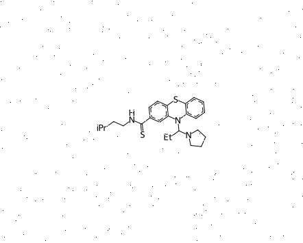 CCC(N1CCCC1)N1c2ccccc2Sc2ccc(C(=S)NCCC(C)C)cc21